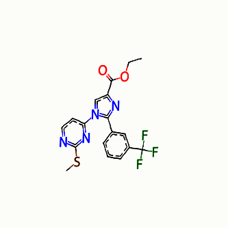 CCOC(=O)c1cn(-c2ccnc(SC)n2)c(-c2cccc(C(F)(F)F)c2)n1